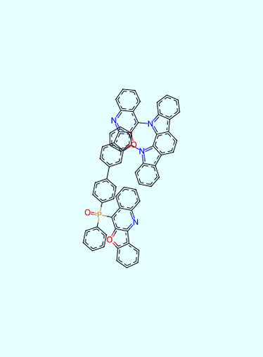 O=P(c1ccccc1)(c1ccc(-c2ccc3c(c2)oc2c(-n4c5ccccc5c5ccc6c7ccccc7n(-c7ccccc7)c6c54)c4ccccc4nc23)cc1)c1c2ccccc2nc2c1oc1ccccc12